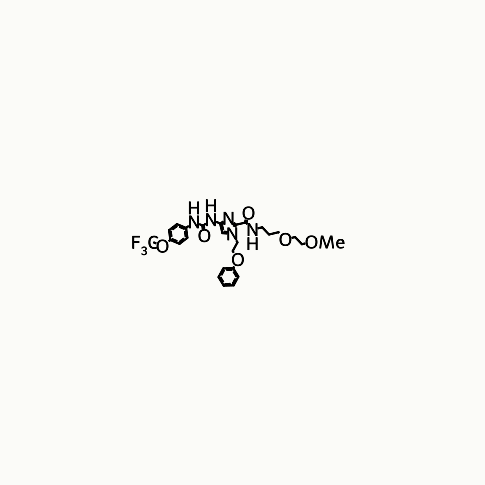 COCCOCCCNC(=O)c1nc(NC(=O)Nc2ccc(OC(F)(F)F)cc2)cn1CCOc1ccccc1